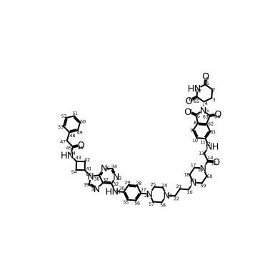 O=C1CC[C@H](N2C(=O)c3ccc(NCC(=O)N4CCN(CCCN5CCN(c6ccc(Nc7ncnc8c7ncn8C7CC(NC(=O)Cc8ccccc8)C7)cc6)CC5)CC4)cc3C2=O)C(=O)N1